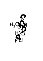 CN1CC(N2CCCCC2)Cn2nc3c(c2C1=O)CN(C(=O)Nc1ccc(F)c(Cl)c1)CC3